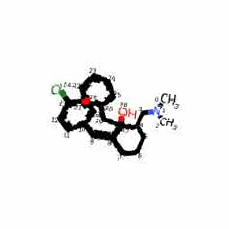 CN(C)CC1CCC/C(=C/c2ccc(Cl)cc2)C1(O)Cc1ccccc1